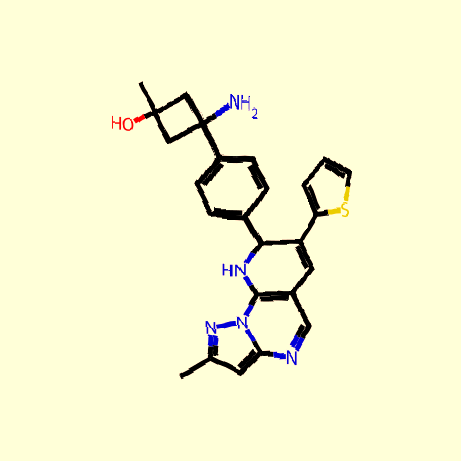 Cc1cc2ncc3c(n2n1)NC(c1ccc(C2(N)CC(C)(O)C2)cc1)C(c1cccs1)=C3